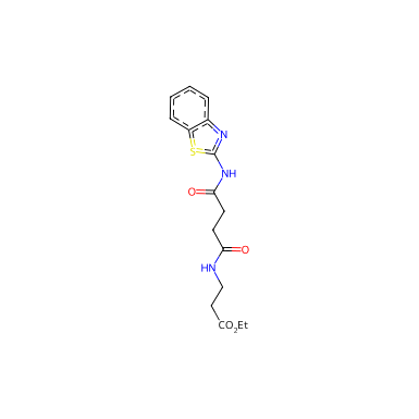 CCOC(=O)CCNC(=O)CCC(=O)Nc1nc2ccccc2s1